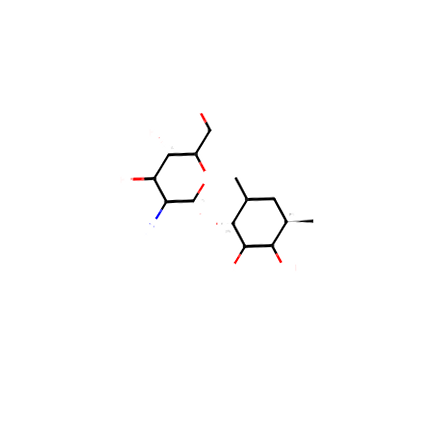 CC1C[C@@H](C)C(O)C(O)[C@@H]1O[C@H]1OC(CO)[C@@H](O)C(O)C1N